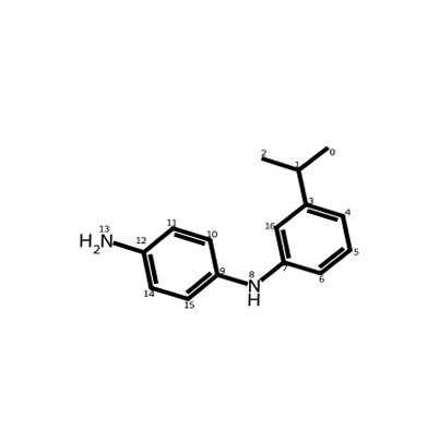 CC(C)c1cccc(Nc2ccc(N)cc2)c1